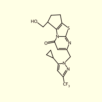 O=c1cc(Cn2nc(C(F)(F)F)cc2C2CC2)nc2sc3c(n12)C(CO)CC3